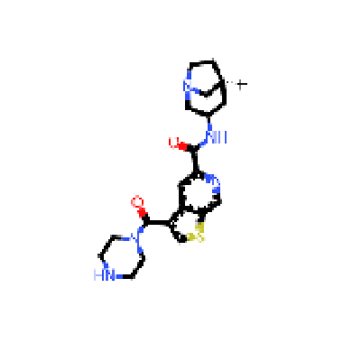 O=C(N[C@@H]1C[C@@H]2CCN(C2)C1)c1cc2c(C(=O)N3CCNCC3)csc2cn1